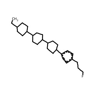 CCC1CCC(C2CCC(C3CCC(c4ccc(CCCF)cc4)CC3)CC2)CC1